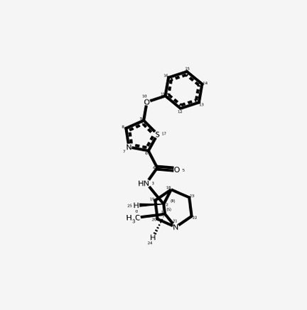 C[C@H]1[C@H](NC(=O)c2ncc(Oc3ccccc3)s2)C2CCN1CC2